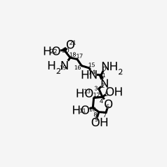 NC(=NCC1(O)OCC(O)C(O)C1O)NCCCC(N)C(=O)O